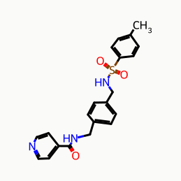 Cc1ccc(S(=O)(=O)NCc2ccc(CNC(=O)c3ccncc3)cc2)cc1